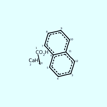 CC(=O)O.[CaH2].c1ccc2ccccc2c1